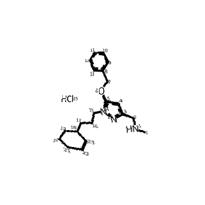 CNCc1cc(OCc2ccccc2)n(CCCC2CCCCC2)n1.Cl